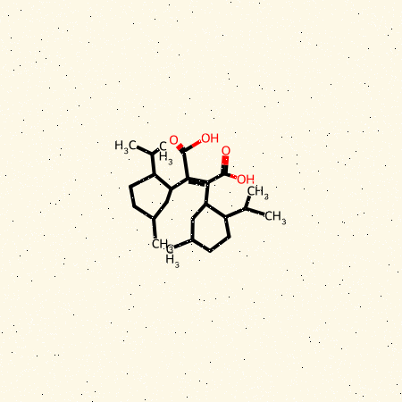 CC1CCC(C(C)C)C(/C(C(=O)O)=C(/C(=O)O)C2CC(C)CCC2C(C)C)C1